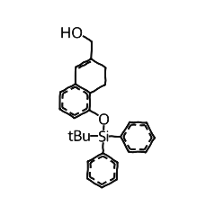 CC(C)(C)[Si](Oc1cccc2c1CCC(CO)=C2)(c1ccccc1)c1ccccc1